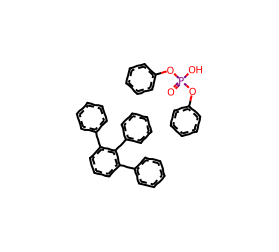 O=P(O)(Oc1ccccc1)Oc1ccccc1.c1ccc(-c2cccc(-c3ccccc3)c2-c2ccccc2)cc1